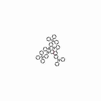 c1ccc(-c2ccccc2N2c3cc([Si](c4ccccc4)(c4ccccc4)c4ccccc4)ccc3B3c4ccccc4N(c4cccc([Si](c5ccccc5)(c5ccccc5)c5ccccc5)c4)c4cc(-c5ccc(N(c6ccccc6)c6ccccc6)cc5)cc2c43)cc1